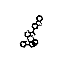 c1ccc(-n2cc(-c3ccc4c(c3)oc3ccccc34)c3nccc(-n4c5ccccc5c5ccccc54)c32)cc1